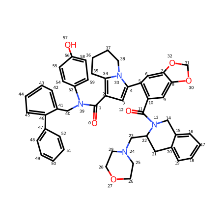 O=C(c1cc(-c2cc3c(cc2C(=O)N2Cc4ccccc4CC2CN2CCOCC2)OCO3)n2c1CCCC2)N(Cc1ccccc1-c1ccccc1)c1ccc(O)cc1